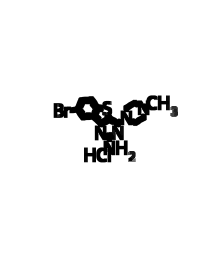 CN1CCN(c2nc(N)nc3c2sc2ccc(Br)cc23)CC1.Cl